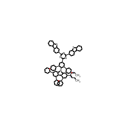 C=C/C=C(\C=C/C)c1cc(-c2ccccc2)c2c3c(-c4ccccc4)cc(-c4ccccc4)cc3n(-c3c(-c4ccccc4)cc(-c4nc(-c5ccc6c(c5)sc5ccccc56)nc(-c5ccc6c(c5)sc5ccccc56)n4)cc3-c3ccccc3)c2c1